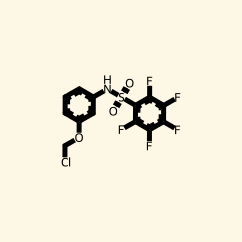 O=S(=O)(Nc1cccc(OCCl)c1)c1c(F)c(F)c(F)c(F)c1F